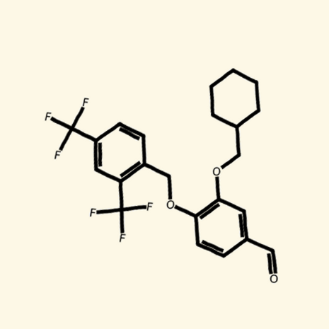 O=Cc1ccc(OCc2ccc(C(F)(F)F)cc2C(F)(F)F)c(OCC2CCCCC2)c1